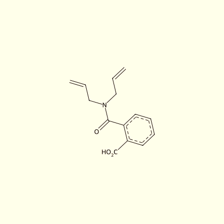 C=CCN(CC=C)C(=O)c1ccccc1C(=O)O